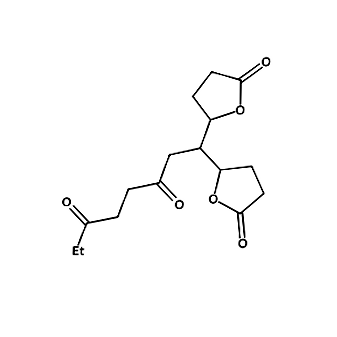 CCC(=O)CCC(=O)CC(C1CCC(=O)O1)C1CCC(=O)O1